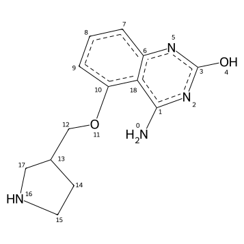 Nc1nc(O)nc2cccc(OCC3CCNC3)c12